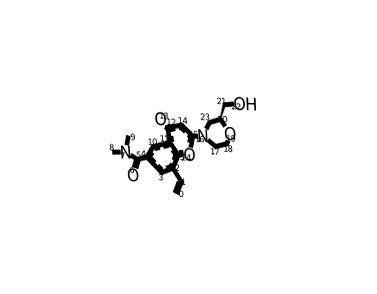 C=Cc1cc(C(=O)N(C)C)cc2c(=O)cc(N3CCO[C@H](CO)C3)oc12